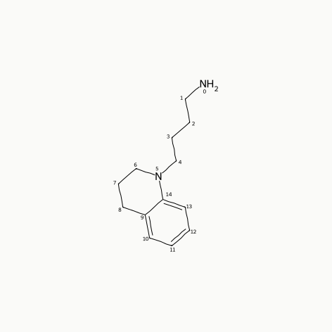 NCCCCN1CCCc2ccccc21